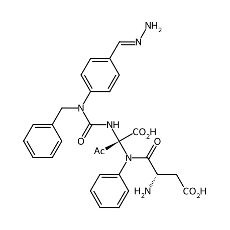 CC(=O)[C@@](NC(=O)N(Cc1ccccc1)c1ccc(C=NN)cc1)(C(=O)O)N(C(=O)[C@@H](N)CC(=O)O)c1ccccc1